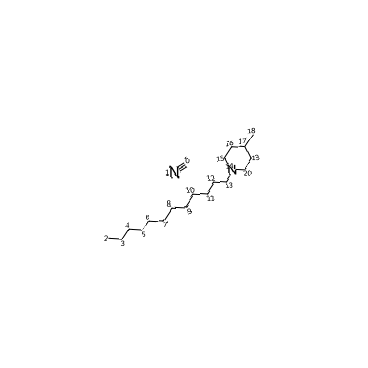 C#N.CCCCCCCCCCCCN1CCC(C)CC1